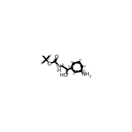 CC(C)(C)OC(=O)NCC(O)c1cccc(N)c1